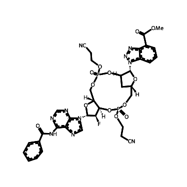 COC(=O)c1cccc2c1nnn2[C@@H]1O[C@@H]2COP(=O)(OCCC#N)O[C@H]3[C@@H](F)[C@H](n4cnc5c(NC(=O)c6ccccc6)ncnc54)O[C@@H]3COP(=O)(OCCC#N)O[C@@H]1C2